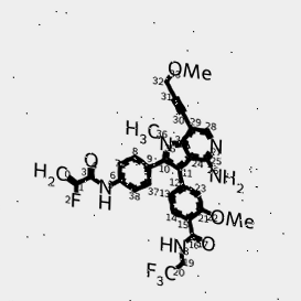 C=C(F)C(=O)Nc1ccc(-c2c(-c3ccc(C(=O)NCC(F)(F)F)c(OC)c3)c3c(N)ncc(C#CCOC)c3n2C)cc1